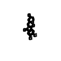 O=C1CCOC(CN2C(=O)c3cc(Cl)c(Cl)cc3C2=O)C1